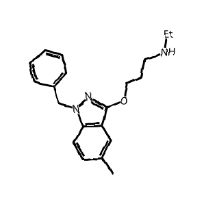 CCNCCCOc1nn(Cc2ccccc2)c2ccc(C)cc12